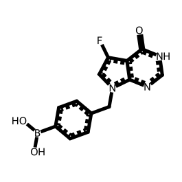 O=c1[nH]cnc2c1c(F)cn2Cc1ccc(B(O)O)cc1